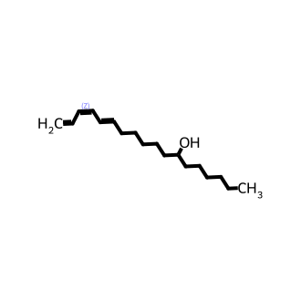 C=C/C=C\C=CCCCCCC(O)CCCCCC